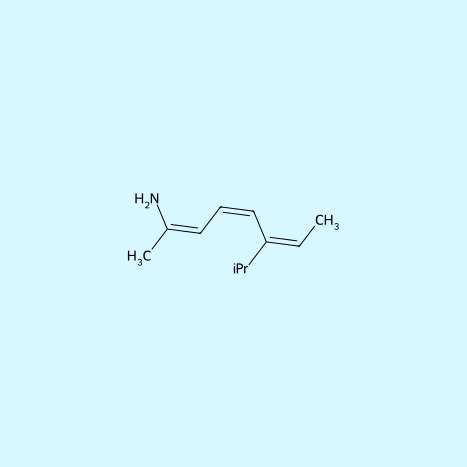 C\C=C(/C=C\C=C(\C)N)C(C)C